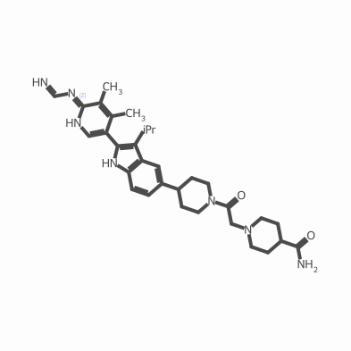 Cc1c(-c2[nH]c3ccc(C4CCN(C(=O)CN5CCC(C(N)=O)CC5)CC4)cc3c2C(C)C)c[nH]/c(=N\C=N)c1C